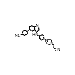 N#CCCN1CCN(c2ccc(Nc3ccnc4ccc(-c5ccc(C#N)cc5)cc34)cc2)CC1